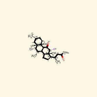 CC[C@H]1[C@@H](OC(C)=O)C2C3CC[C@H]([C@H](C)CC(=O)OC)[C@@]3(C)[C@@H](I)C(=O)C2[C@@]2(C)CC[C@@H](C)C[C@@H]12